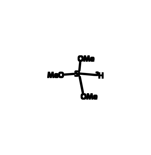 [2H][Si](OC)(OC)OC